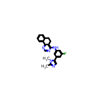 Cc1ncc(-c2cc(F)cc(Nc3ncnc4c3CCc3ccccc3-4)c2)n1C